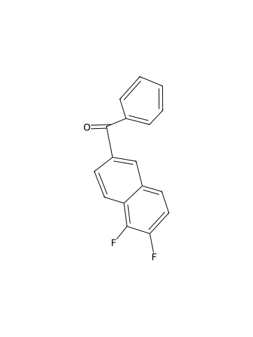 O=C(c1ccccc1)c1ccc2c(F)c(F)ccc2c1